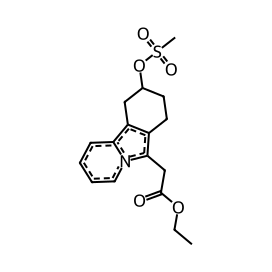 CCOC(=O)Cc1c2c(c3ccccn13)CC(OS(C)(=O)=O)CC2